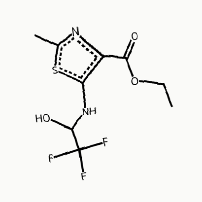 CCOC(=O)c1nc(C)sc1NC(O)C(F)(F)F